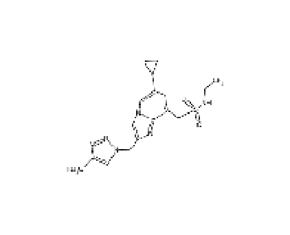 O=C(O)c1cn(Cc2cn3cc(C4CC4)cc(CS(=O)(=O)NCC(F)(F)F)c3n2)nn1